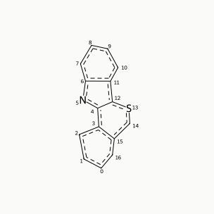 c1ccc2c3nc4ccccc4c-3scc2c1